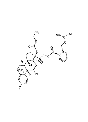 CCOC(=O)O[C@]1(C(=O)COC(=O)c2ccccc2CON(O)O)CC[C@H]2[C@@H]3CCC4=CC(=O)C=C[C@]4(C)[C@H]3[C@@H](O)C[C@@]21C